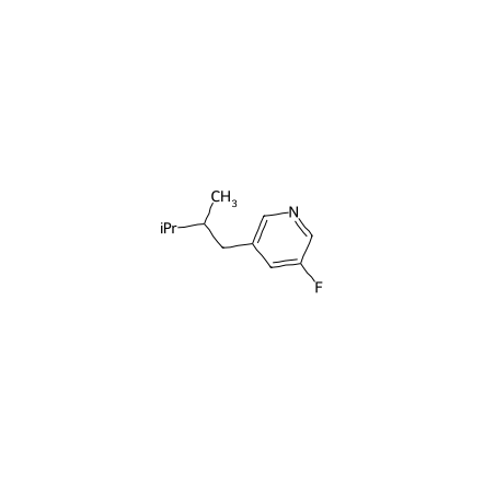 CC(C)C(C)Cc1cncc(F)c1